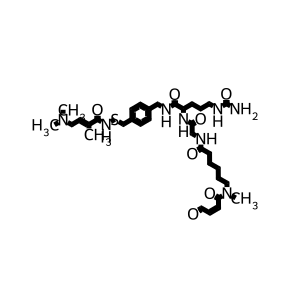 C/C(=C\CN(C)C)C(=O)NSCc1ccc(CNC(=O)C(CCCNC(N)=O)NC(=O)CNC(=O)CCCCCN(C)C(=O)/C=C\C=O)cc1